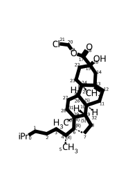 CC(C)CCC[C@@H](C)[C@H]1CC[C@H]2[C@@H]3CC=C4CC(O)(C(=O)OCCl)CC[C@]4(C)[C@H]3CC[C@]12C